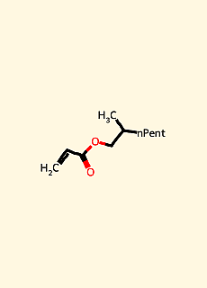 C=CC(=O)OCC(C)CCCCC